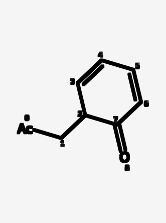 CC(=O)CC1C=CC=CC1=O